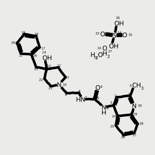 Cc1cc(NC(=O)NCCN2CCC(O)(Cc3ccccc3)CC2)c2ccccc2n1.O.O.O=S(=O)(O)O